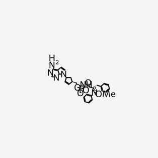 CON(c1ccccc1)[C@@H](Cc1ccccc1)C(=O)OP(N)(=O)OC[C@H]1C=C[C@@H](n2ccc3c(N)ncnc32)C1